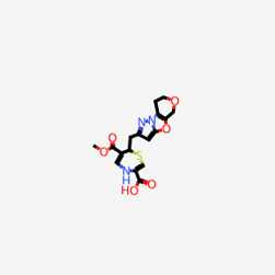 COC(=O)C1=CNC(C(=O)O)=CSC1Cc1cc2oc3c(n2n1)CCOC3